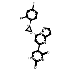 O=c1[nH]cc(-c2cc([C@@H]3C[C@H]3c3ccc(F)cc3F)n3nccc3n2)c(=O)[nH]1